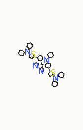 c1ccc(N(c2ccccc2)c2ccc(-c3ccc4c(c3)C3(c5cc(-c6ccc(N(c7ccccc7)c7ccccc7)s6)ccc5N4c4ccccc4)c4cccnc4-c4ncccc43)s2)cc1